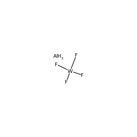 [AlH3].[F][W]([F])([F])[F]